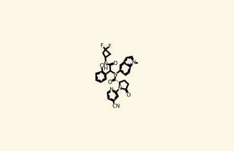 Cn1ccc2cc(N(C(=O)[C@@H]3CCC(=O)N3c3cc(C#N)ccn3)C(C(=O)NC3CC(F)(F)C3)c3ccccc3Cl)ccc21